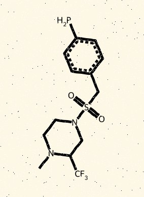 CN1CCN(S(=O)(=O)Cc2ccc(P)cc2)CC1C(F)(F)F